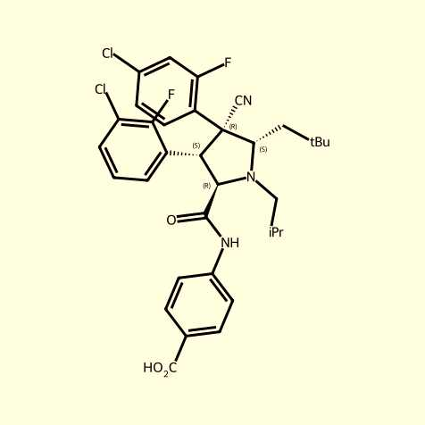 CC(C)CN1[C@@H](CC(C)(C)C)[C@](C#N)(c2ccc(Cl)cc2F)[C@@H](c2cccc(Cl)c2F)[C@@H]1C(=O)Nc1ccc(C(=O)O)cc1